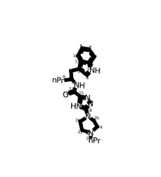 CCCC(Cc1c[nH]c2ccccc12)NC(=O)c1nnc(N2CCN(CCC)CC2)[nH]1